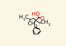 CCC(Cc1ccccc1)(CC(C)C)C(=O)O